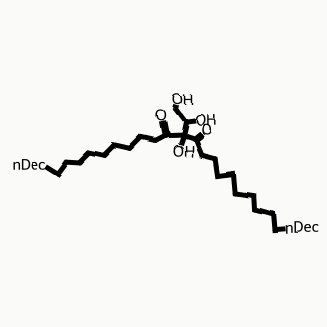 CCCCCCCCCCCCCCCCCCCC(=O)C(O)(C(=O)CCCCCCCCCCCCCCCCCCC)C(O)CO